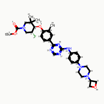 CC(C)(C)OC(=O)N1C[C@@H](F)[C@H](Oc2ccc(-c3ncnc(Nc4ccc(N5CCN(C6COC6)CC5)cc4)n3)cc2C#N)C(C)(C)C1